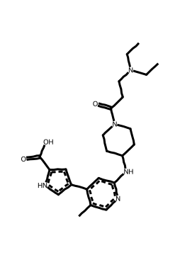 CCN(CC)CCC(=O)N1CCC(Nc2cc(-c3c[nH]c(C(=O)O)c3)c(C)cn2)CC1